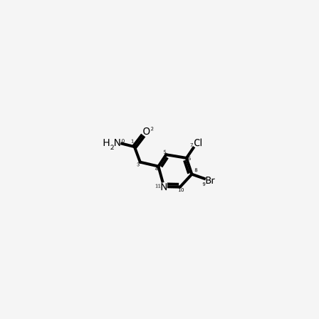 NC(=O)Cc1cc(Cl)c(Br)cn1